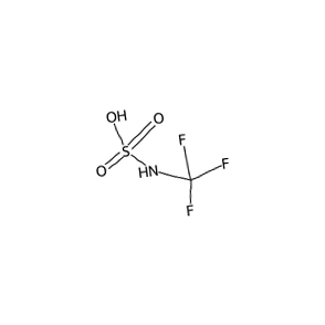 O=S(=O)(O)NC(F)(F)F